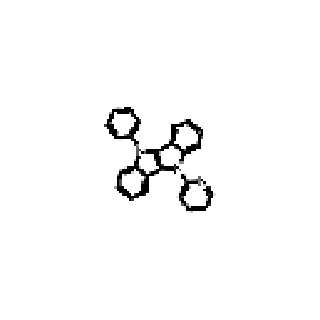 c1ccc(-n2c3ccccc3c3c2c2ccccc2n3-c2ccccn2)cc1